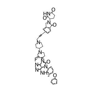 Nc1ncnc2c1n(-c1ccc(Oc3ccccc3)cc1)c(=O)n2[C@@H]1CCN(C2CCN(CC#Cc3ccc4c(c3)CN(C3CCC(=O)NC3=O)C4=O)CC2)C[C@H]1F